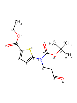 CCOC(=O)c1ccc(N(CCC=O)C(=O)OC(C)(C)C)s1